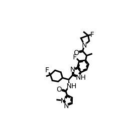 CC(C(=O)N1CC(C)(F)C1)c1ccc2[nH]c([C@@H](NC(=O)c3ccnn3C)C3CCC(C)(F)CC3)nc2c1F